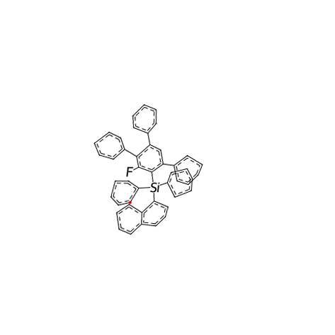 Fc1c(-c2ccccc2)c(-c2ccccc2)cc(-c2ccccc2)c1[Si](c1ccccc1)(c1ccccc1)c1cccc2ccccc12